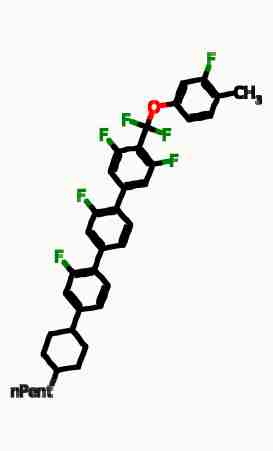 CCCCCC1CCC(c2ccc(-c3ccc(-c4cc(F)c(C(F)(F)Oc5ccc(C)c(F)c5)c(F)c4)c(F)c3)c(F)c2)CC1